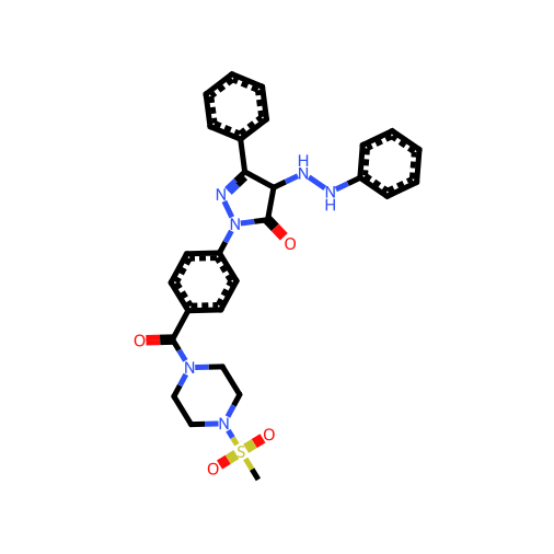 CS(=O)(=O)N1CCN(C(=O)c2ccc(N3N=C(c4ccccc4)C(NNc4ccccc4)C3=O)cc2)CC1